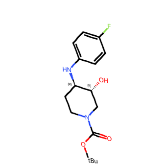 CC(C)(C)OC(=O)N1CC[C@@H](Nc2ccc(F)cc2)[C@H](O)C1